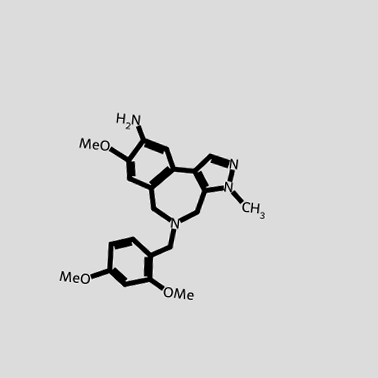 COc1ccc(CN2Cc3cc(OC)c(N)cc3-c3cnn(C)c3C2)c(OC)c1